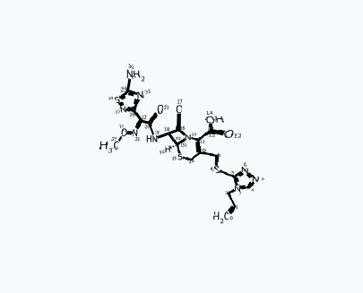 C=CCn1cnnc1SCC1=C(C(=O)O)N2C(=O)C(NC(=O)C(=NOC)c3nsc(N)n3)[C@@H]2SC1